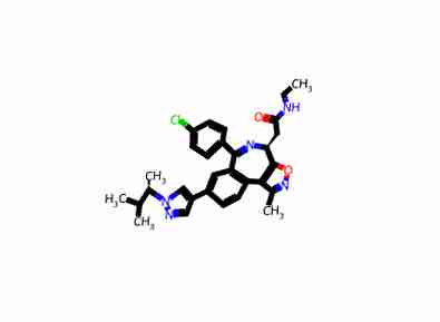 CCNC(=O)C[C@@H]1N=C(c2ccc(Cl)cc2)c2cc(-c3cnn([C@@H](C)C(C)C)c3)ccc2-c2c(C)noc21